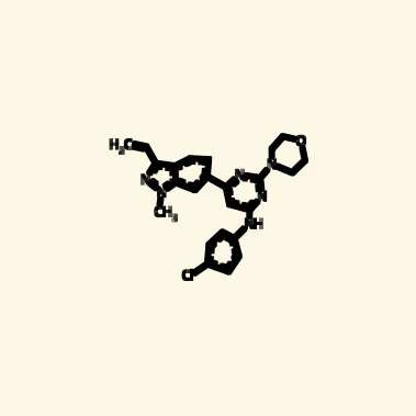 C=Cc1nn(C)c2cc(-c3cc(Nc4ccc(Cl)cc4)nc(N4CCOCC4)n3)ccc12